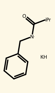 CC(C)C(=O)[N]Cc1ccccc1.[KH]